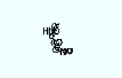 CC(C)(C)OC(=O)NC1CCC(COc2coc(CN3Cc4ccccc4C3)cc2=O)C1